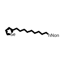 CCCCCCCCCCCCCCCCCCc1ccc[se]1